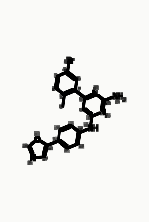 Cc1ccc(Br)cc1-c1cc(Nc2ccc(-c3cnco3)cc2)nc(N)n1